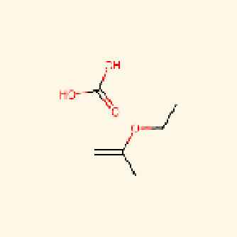 C=C(C)OCC.O=C(O)O